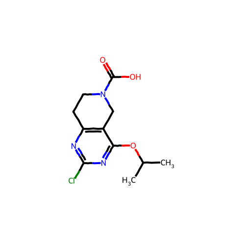 CC(C)Oc1nc(Cl)nc2c1CN(C(=O)O)CC2